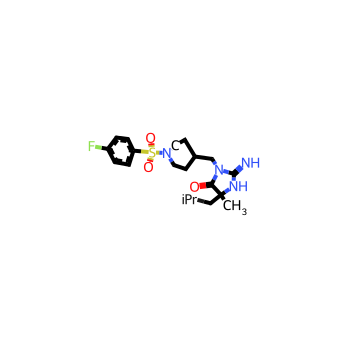 CC(C)CC1(C)NC(=N)N(CC2CCN(S(=O)(=O)c3ccc(F)cc3)CC2)C1=O